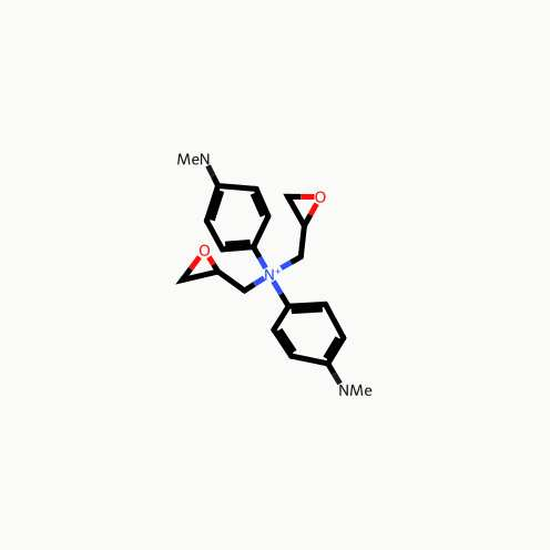 CNc1ccc([N+](CC2CO2)(CC2CO2)c2ccc(NC)cc2)cc1